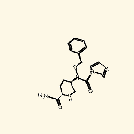 NC(=O)[C@@H]1CC[C@@H](N(OCc2ccccc2)C(=O)n2ccnc2)CN1